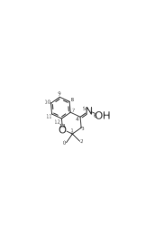 CC1(C)C/C(=N\O)c2ccccc2O1